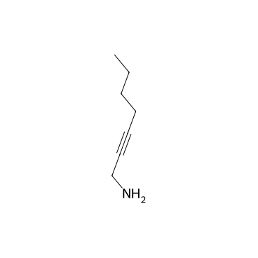 CCCCC#CCN